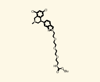 CN1Cc2c(Cl)cc(Cl)cc2C(c2ccc3cn(CCOCCOCCOCCNC(=O)OC(C)(C)C)nc3c2)C1